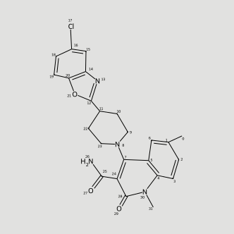 Cc1ccc2c(c1)c(N1CCC(c3nc4cc(Cl)ccc4o3)CC1)c(C(N)=O)c(=O)n2C